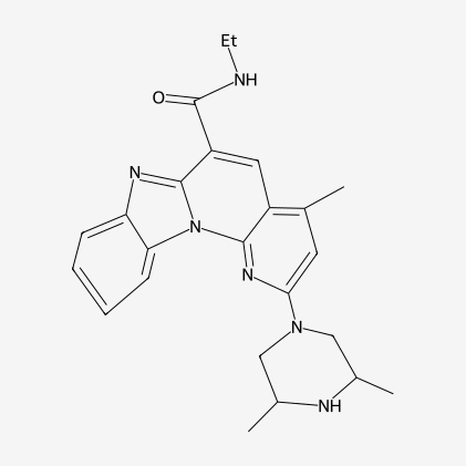 CCNC(=O)c1cc2c(C)cc(N3CC(C)NC(C)C3)nc2n2c1nc1ccccc12